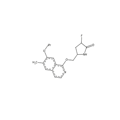 Cc1cc2ccnc(OCC3CC(F)C(=O)N3)c2cc1OC(C)C